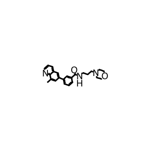 Cc1cc(-c2cccc(C(=O)NCCCN3CCOCC3)c2)cc2cccnc12